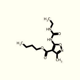 CCCCOC(=O)c1c(C)noc1NC(=O)NCC